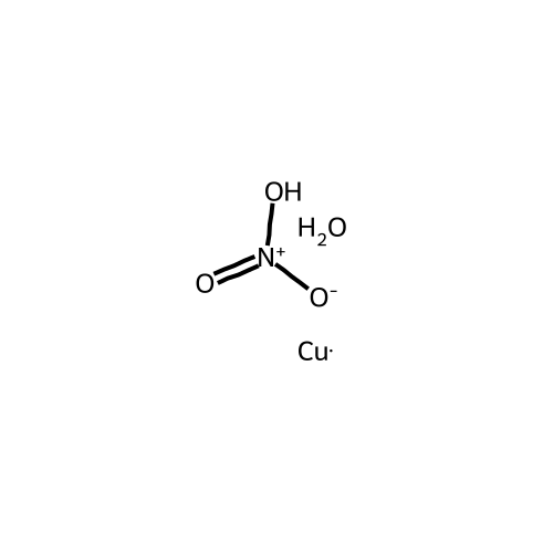 O.O=[N+]([O-])O.[Cu]